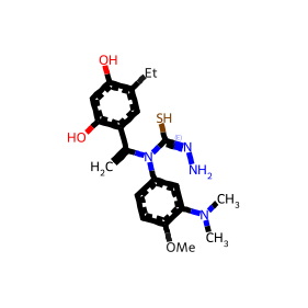 C=C(c1cc(CC)c(O)cc1O)N(/C(S)=N\N)c1ccc(OC)c(N(C)C)c1